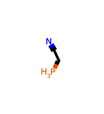 N#CC=[PH3]